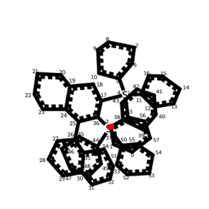 c1ccc([Si](c2ccccc2)(c2ccccc2)c2cc3ccccc3c(-c3cccc4ccccc34)c2[Si](c2ccccc2)(c2ccccc2)c2ccccc2)cc1